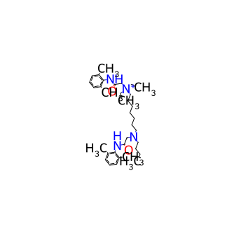 CCCCN(CCCCCCC[N+](CC)(CC)CC(=O)Nc1c(C)cccc1C)CC(=O)Nc1c(C)cccc1C